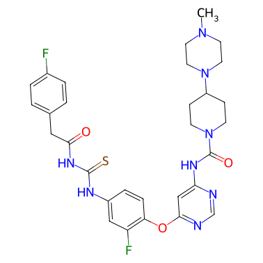 CN1CCN(C2CCN(C(=O)Nc3cc(Oc4ccc(NC(=S)NC(=O)Cc5ccc(F)cc5)cc4F)ncn3)CC2)CC1